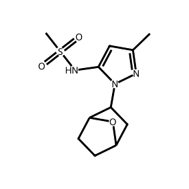 Cc1cc(NS(C)(=O)=O)n(C2CC3CCC2O3)n1